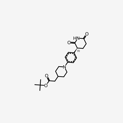 CC(C)(C)OC(=O)CC1CCN(c2ccc([C@@H]3CCC(=O)NC3=O)cc2)CC1